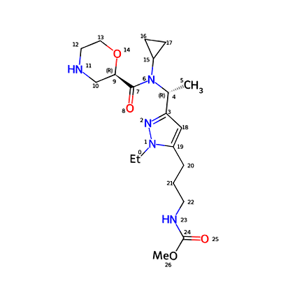 CCn1nc([C@@H](C)N(C(=O)[C@H]2CNCCO2)C2CC2)cc1CCCNC(=O)OC